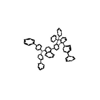 c1ccc(-c2ccc(-c3cccc4c3-c3ccc(-c5ccc(N(c6ccc(-c7ccccc7)cc6)c6ccc(-c7ccccc7)cc6)c6ccccc56)cc3C4(c3ccccc3)c3ccccc3)cc2)cc1